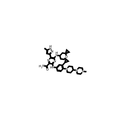 Cc1cc(-c2nc(C(N)=O)c(Nc3ccc(N4CCC(N5CCN(C)CC5)CC4)c(C4CC4)c3)nc2NC2CCOC3(CC3)C2)n[nH]1